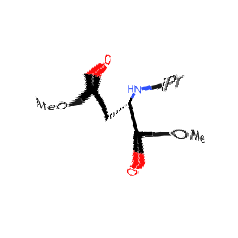 COC(=O)C[C@H](NC(C)C)C(=O)OC